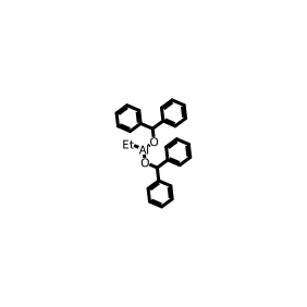 [CH2][CH2][Al]([O]C(c1ccccc1)c1ccccc1)[O]C(c1ccccc1)c1ccccc1